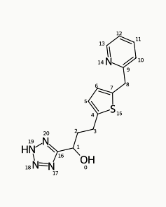 OC(CCc1ccc(Cc2ccccn2)s1)c1nn[nH]n1